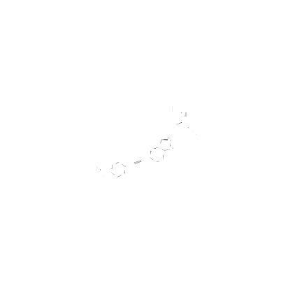 CC(CCn1cc2cc(C#Cc3ccc(C4(N)CC4)cc3)ccc2n1)(C(=O)NO)S(C)(=O)=O